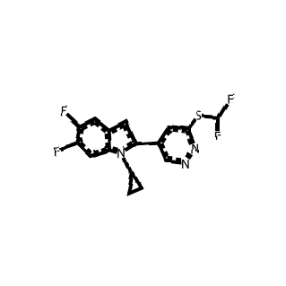 Fc1cc2cc(-c3cnnc(SC(F)F)c3)n(C3CC3)c2cc1F